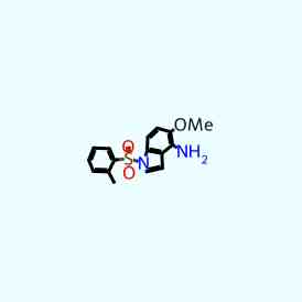 COc1ccc2c(ccn2S(=O)(=O)c2ccccc2C)c1N